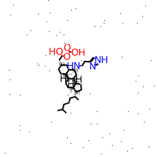 CC(C)CCCC(C)[C@H]1CC[C@H]2[C@@H]3C[C@@H](NCCc4c[nH]cn4)C4C[C@@H](CC(O)OC(=O)O)CC[C@]4(C)[C@H]3CC[C@]12C